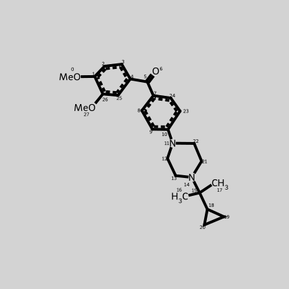 COc1ccc(C(=O)c2ccc(N3CCN(C(C)(C)C4CC4)CC3)cc2)cc1OC